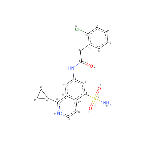 NS(=O)(=O)c1cc(NC(=O)Cc2ccccc2Cl)cc2c(C3CC3)nccc12